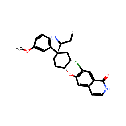 CCC(N)[C@]1(c2cccc(OC)c2)CC[C@@H](Oc2cc3cc[nH]c(=O)c3cc2Cl)CC1